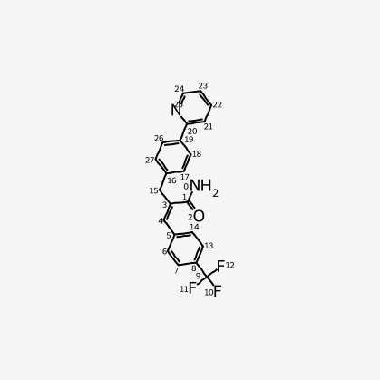 NC(=O)C(=Cc1ccc(C(F)(F)F)cc1)Cc1ccc(-c2ccccn2)cc1